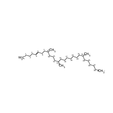 [CH2]CCCC=CCCC(C)CCCC(C)CCCCCCCC(C)CCCCC[CH2]